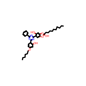 CCCCCCCCCCC(O)(O)Oc1ccc(-c2nc(-c3ccccc3)nc(-c3ccc(OCCCCCC)cc3O)n2)c(O)c1